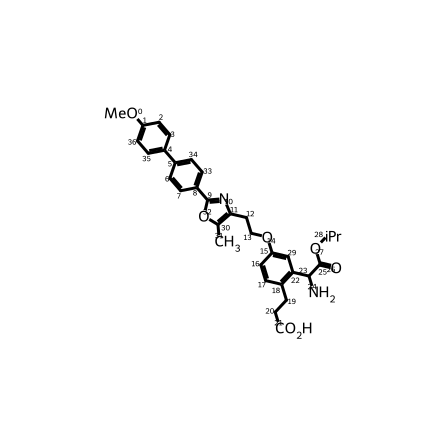 COc1ccc(-c2ccc(-c3nc(CCOc4ccc(CCC(=O)O)c(C(N)C(=O)OC(C)C)c4)c(C)o3)cc2)cc1